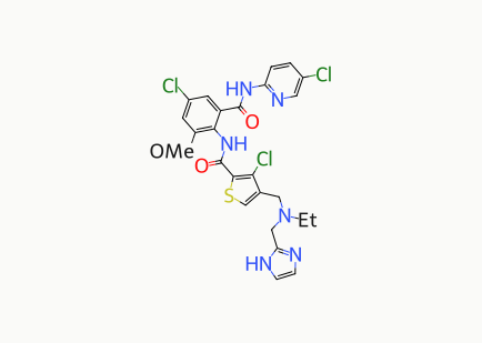 CCN(Cc1ncc[nH]1)Cc1csc(C(=O)Nc2c(OC)cc(Cl)cc2C(=O)Nc2ccc(Cl)cn2)c1Cl